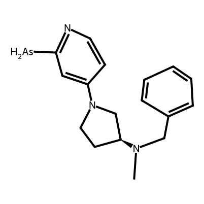 CN(Cc1ccccc1)[C@H]1CCN(c2ccnc([AsH2])c2)C1